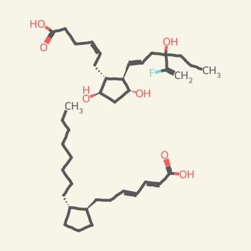 C=C(F)C(O)(C/C=C/[C@@H]1[C@@H](C/C=C\CCC(=O)O)[C@H](O)C[C@H]1O)CCC.CCCCCCCC[C@H]1CCC[C@@H]1CCC=CC=CC(=O)O